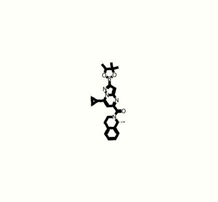 CC1OB(c2cc3nc(C(=O)N4CCc5ccccc5[C@H]4C)cc(C4CC4)n3n2)OC1(C)C